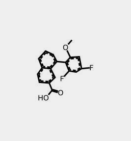 COc1cc(F)cc(F)c1-c1cccc2ccc(C(=O)O)cc12